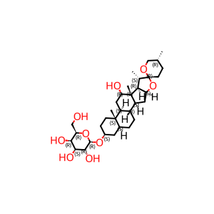 C[C@@H]1CC[C@@]2(OC1)O[C@H]1C[C@H]3[C@@H]4CC[C@H]5C[C@@H](O[C@@H]6O[C@H](CO)[C@H](O)[C@H](O)[C@H]6O)CC[C@]5(C)[C@H]4C[C@@H](O)[C@]3(C)[C@H]1[C@@H]2C